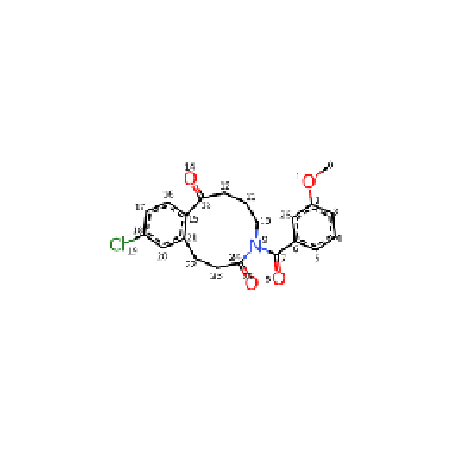 COc1cccc(C(=O)N2CCCC(=O)c3ccc(Cl)cc3CCC2=O)c1